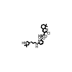 CC1(C)C[C@H](CCCNc2cccc(S(=O)(=O)NC(=O)c3cc4c(nc3Cl)C(C)(C)CCC4)n2)CN1